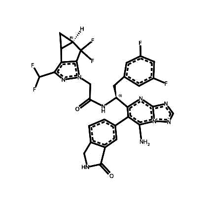 Nc1c(-c2ccc3c(c2)C(=O)NC3)c([C@H](Cc2cc(F)cc(F)c2)NC(=O)Cn2nc(C(F)F)c3c2C(F)(F)[C@@H]2CC32)nc2ncnn12